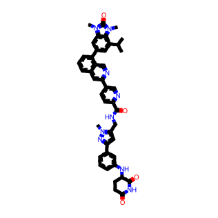 CC(C)c1cc(-c2cccc3cc(-c4ccc(C(=O)NCc5cc(-c6cccc(NC7CCC(=O)NC7=O)c6)nn5C)nc4)ncc23)cc2c1n(C)c(=O)n2C